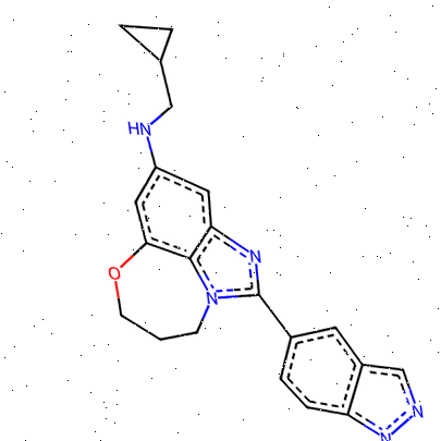 c1cc2[nH]ncc2cc1-c1nc2cc(NCC3CC3)cc3c2n1CCCO3